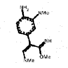 CN/C=C(\C(=N)OC)c1ccc(N)c(NC)c1